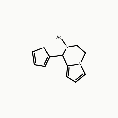 CC(=O)N1CCn2cccc2C1c1cccs1